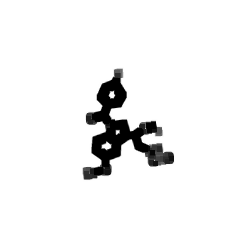 CCOc1ccc2c(c1)c(C(C)CNC=O)cn2C(=O)c1ccc(F)cc1